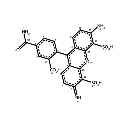 N=c1ccc2c(-c3ccc(C(N)=O)cc3C(=O)O)c3ccc(N)c(S(=O)(=O)O)c3oc-2c1S(=O)(=O)O